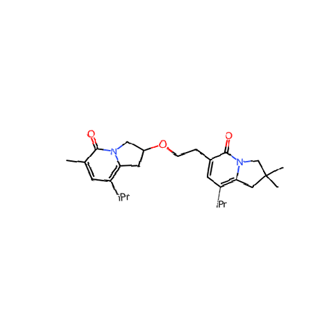 Cc1cc(C(C)C)c2n(c1=O)CC(OCCc1cc(C(C)C)c3n(c1=O)CC(C)(C)C3)C2